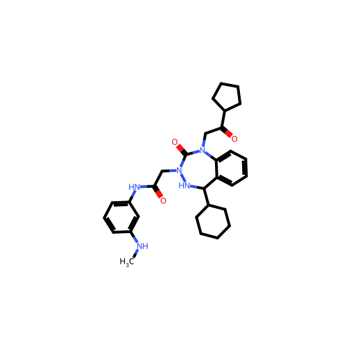 CNc1cccc(NC(=O)CN2NC(C3CCCCC3)c3ccccc3N(CC(=O)C3CCCC3)C2=O)c1